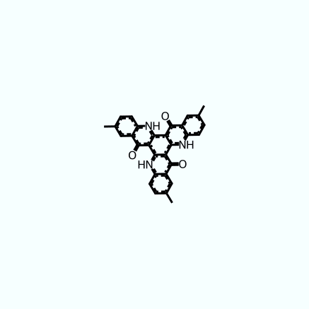 Cc1ccc2[nH]c3c4c(=O)c5cc(C)ccc5[nH]c4c4c(=O)c5cc(C)ccc5[nH]c4c3c(=O)c2c1